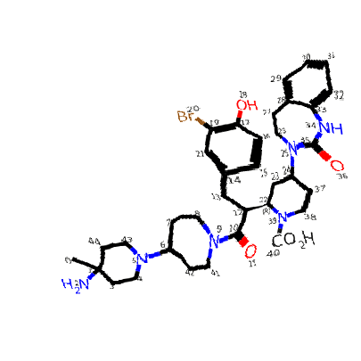 CC1(N)CCN(C2CCN(C(=O)C(Cc3ccc(O)c(Br)c3)[C@H]3CC(N4CCc5ccccc5NC4=O)CCN3C(=O)O)CC2)CC1